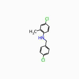 Cc1cc(Cl)ccc1NCc1ccc(Cl)cc1